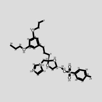 CCCOc1cc(CCC[C@]2(Cn3ccnc3)OC[C@@H](COS(=O)(=O)c3ccc(C)cc3)O2)cc(OCCC)c1